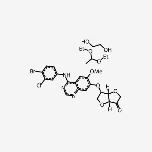 CCOC(C)OCC.COc1cc2c(Nc3ccc(Br)c(Cl)c3)ncnc2cc1O[C@@H]1CO[C@H]2C(=O)CO[C@@H]12.OCCO